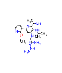 CCOc1ncccc1-c1cc(NC/C(N)=N/NN)c(NC(C)C)c(C(C)=N)n1